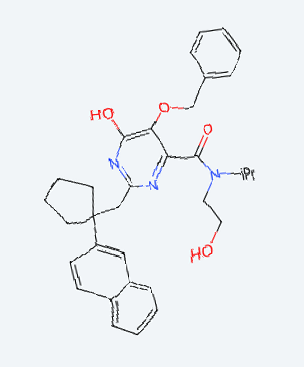 CC(C)N(CCO)C(=O)c1nc(CC2(c3ccc4ccccc4c3)CCCC2)nc(O)c1OCc1ccccc1